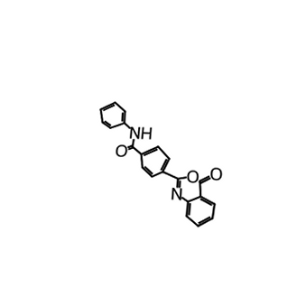 O=C(Nc1ccccc1)c1ccc(-c2nc3ccccc3c(=O)o2)cc1